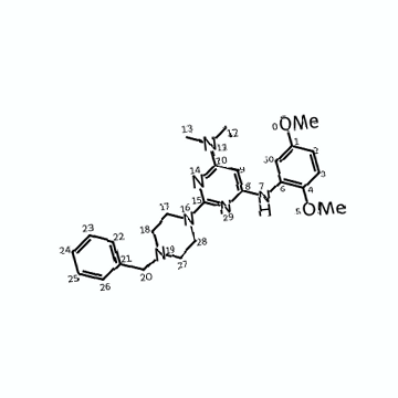 COc1ccc(OC)c(Nc2cc(N(C)C)nc(N3CCN(Cc4ccccc4)CC3)n2)c1